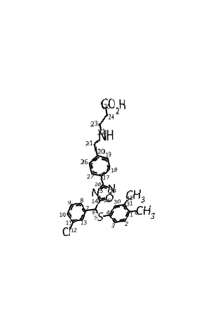 Cc1ccc(SC(c2cccc(Cl)c2)c2nc(-c3ccc(CNCCC(=O)O)cc3)no2)cc1C